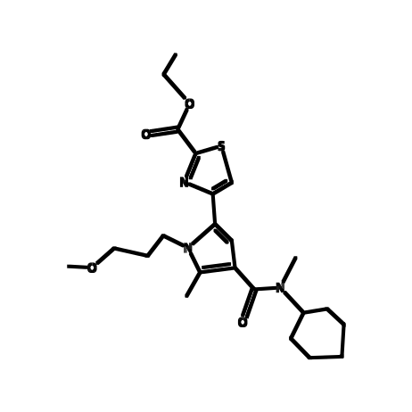 CCOC(=O)c1nc(-c2cc(C(=O)N(C)C3CCCCC3)c(C)n2CCCOC)cs1